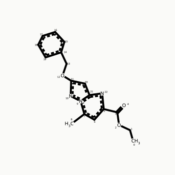 CCOC(=O)c1cc(C)n2nc(OCc3ccccc3)cc2n1